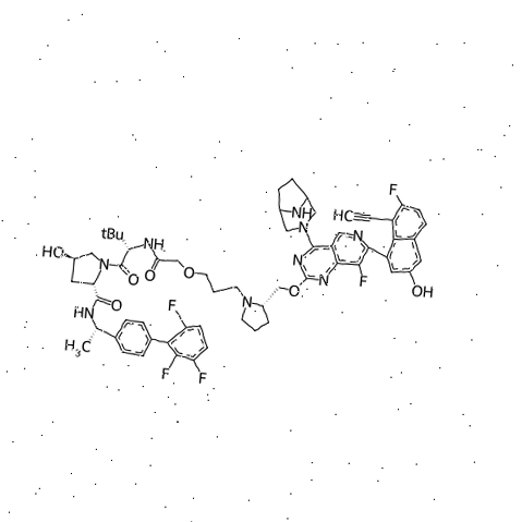 C#Cc1c(F)ccc2cc(O)cc(-c3ncc4c(N5CC6CCC(C5)N6)nc(OC[C@@H]5CCCN5CCCOCC(=O)N[C@H](C(=O)N5C[C@H](O)C[C@H]5C(=O)N[C@@H](C)c5ccc(-c6c(F)ccc(F)c6F)cc5)C(C)(C)C)nc4c3F)c12